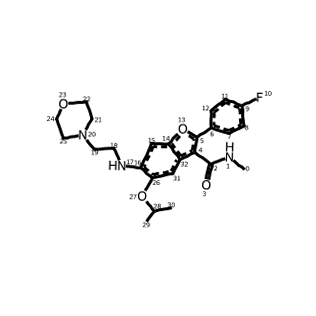 CNC(=O)c1c(-c2ccc(F)cc2)oc2cc(NCCN3CCOCC3)c(OC(C)C)cc12